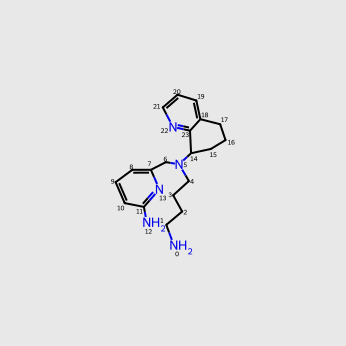 NCCCCN(Cc1cccc(N)n1)C1CCCc2cccnc21